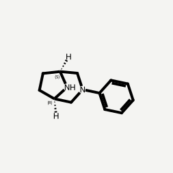 c1ccc(N2C[C@H]3CC[C@@H](C2)N3)cc1